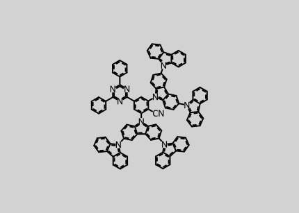 N#Cc1c(-n2c3ccc(-n4c5ccccc5c5ccccc54)cc3c3cc(-n4c5ccccc5c5ccccc54)ccc32)cc(-c2nc(-c3ccccc3)nc(-c3ccccc3)n2)cc1-n1c2ccc(-n3c4ccccc4c4ccccc43)cc2c2cc(-n3c4ccccc4c4ccccc43)ccc21